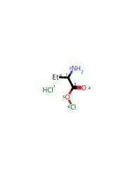 CCC(N)C(=O)OCl.Cl